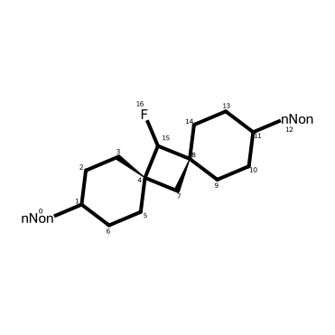 CCCCCCCCCC1CC[C@]2(CC1)C[C@@]1(CCC(CCCCCCCCC)CC1)C2F